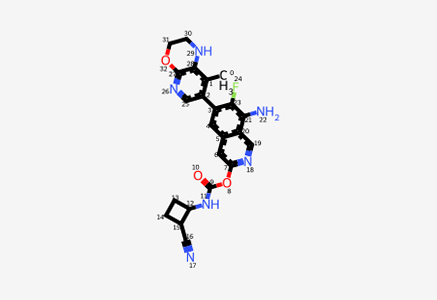 Cc1c(-c2cc3cc(OC(=O)NC4CCC4C#N)ncc3c(N)c2F)cnc2c1NCCO2